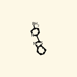 Bc1ccc(-c2nc3ccccc3s2)nc1